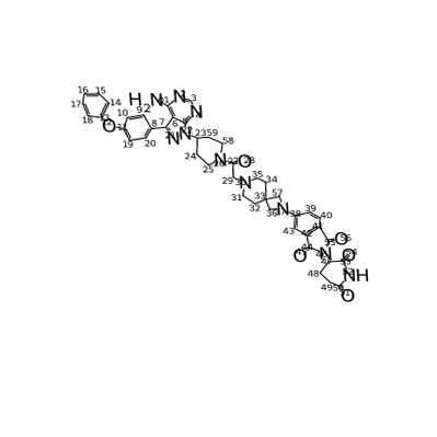 Nc1ncnc2c1c(-c1ccc(Oc3ccccc3)cc1)nn2C1CCN(C(=O)CN2CCC3(CC2)CN(c2ccc4c(c2)C(=O)N(C2CCC(=O)NC2=O)C4=O)C3)CC1